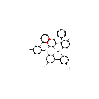 CC(C)(C)c1ccc(N2B3c4c(cc(C(C)(C)C)cc4N(c4ccc(C(C)(C)C)cc4-c4ccccc4)c4ccc5c(c43)C(C)(C)c3ccccc3-5)-c3cc(C(C)(C)C)ccc32)cc1